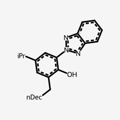 CCCCCCCCCCCc1cc(C(C)C)cc(-n2nc3ccccc3n2)c1O